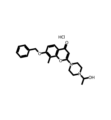 Cc1c(OCc2ccccc2)ccc2c(=O)cc(N3CCN(C(C)O)CC3)oc12.Cl